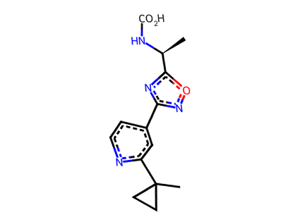 C[C@H](NC(=O)O)c1nc(-c2ccnc(C3(C)CC3)c2)no1